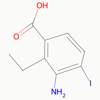 CCc1c(C(=O)O)ccc(I)c1N